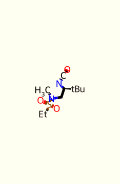 CCS(=O)(=O)N(C)C[C@@H](N=C=O)C(C)(C)C